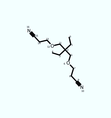 CCC(CC)(COCCC#N)COCCC#N